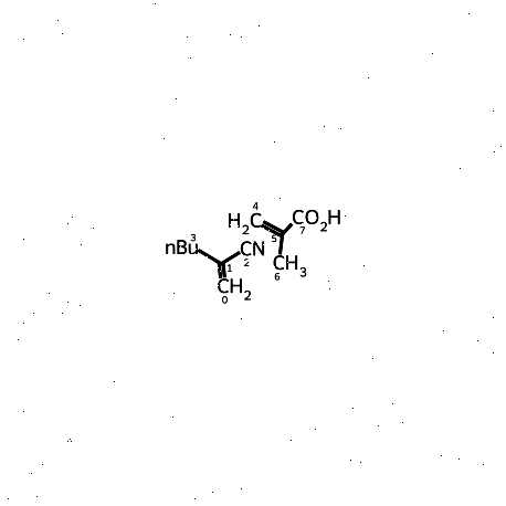 C=C(C#N)CCCC.C=C(C)C(=O)O